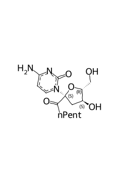 CCCCCC(=O)[C@]1(n2ccc(N)nc2=O)C[C@H](O)[C@@H](CO)O1